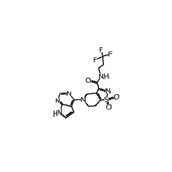 O=C(NCCC(F)(F)F)C1=NS(=O)(=O)C2=C1CN(c1ncnc3[nH]ccc13)CC2